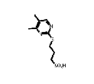 Cc1cnc(SCCCS(=O)(=O)O)nc1C